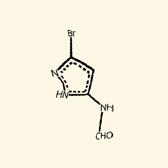 O=CNc1cc(Br)n[nH]1